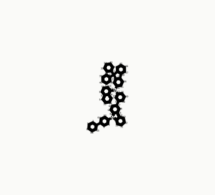 c1ccc(-c2ccc(-n3c4ccccc4c4cc(-c5cccc(N(c6ccc7c(c6)C(c6ccccc6)(c6ccccc6)c6ccccc6-7)c6cccc7ccccc67)c5)ccc43)cc2)cc1